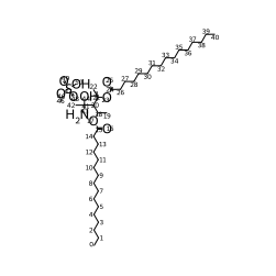 CCCCCCCCCCCCCCCC(=O)OC(C)C(C(C)OC(=O)CCCCCCCCCCCCCCC)C(C)(N)O.COS(=O)(=O)O